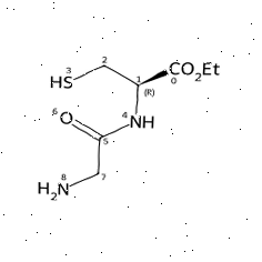 CCOC(=O)[C@H](CS)NC(=O)CN